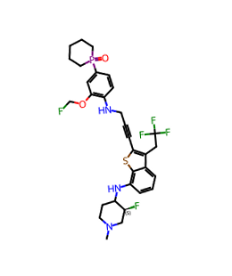 CN1CCC(Nc2cccc3c(CC(F)(F)F)c(C#CCNc4ccc(P5(=O)CCCCC5)cc4OCF)sc23)[C@@H](F)C1